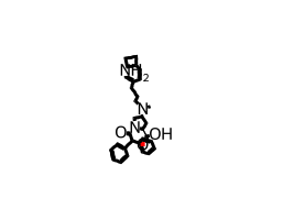 CN(CCCC(/C=C\C1CCC1)=C/N)[C@H]1C[C@@H](C(=O)O)N(C(=O)C(c2ccccc2)c2ccccc2)C1